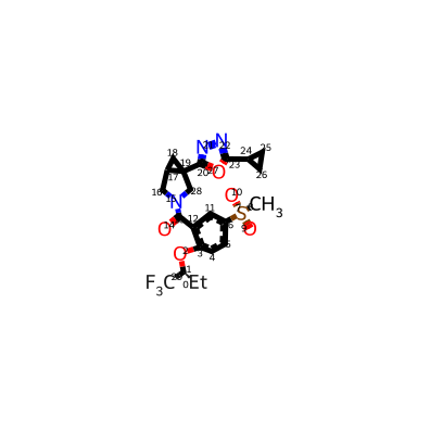 CC[C@@H](Oc1ccc(S(C)(=O)=O)cc1C(=O)N1CC2CC2(c2nnc(C3CC3)o2)C1)C(F)(F)F